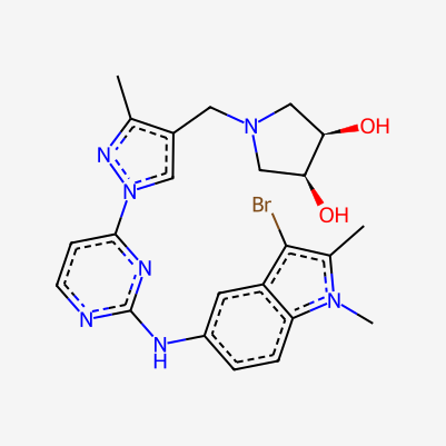 Cc1nn(-c2ccnc(Nc3ccc4c(c3)c(Br)c(C)n4C)n2)cc1CN1C[C@@H](O)[C@@H](O)C1